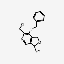 CCCC1OCc2c1cnc(CCl)c2OCc1ccccc1